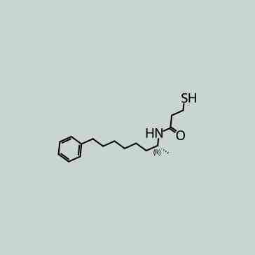 C[C@H](CCCCCCc1ccccc1)NC(=O)CCS